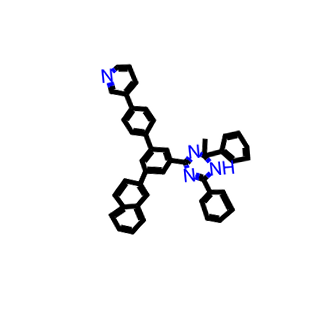 CC1(c2ccccc2)N=C(c2cc(-c3ccc(-c4cccnc4)cc3)cc(-c3ccc4ccccc4c3)c2)N=C(c2ccccc2)N1